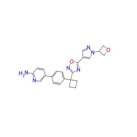 Nc1ccc(-c2ccc(C3(c4noc(-c5cnn(C6COC6)c5)n4)CCC3)cc2)cn1